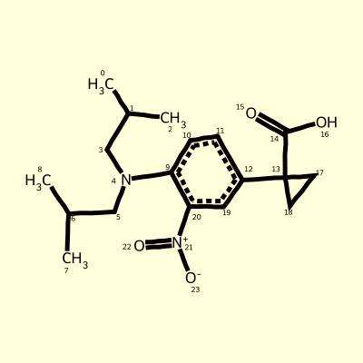 CC(C)CN(CC(C)C)c1ccc(C2(C(=O)O)CC2)cc1[N+](=O)[O-]